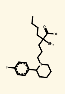 BC(CCCC)(CCCN1CCCCC1c1ccc(F)cc1)C(=O)O